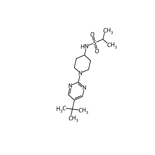 CC(C)S(=O)(=O)NC1CCN(c2ncc(C(C)(C)C)cn2)CC1